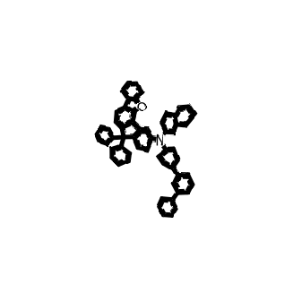 c1ccc(-c2cccc(-c3ccc(N(c4ccc5c(c4)-c4c(ccc6c4oc4ccccc46)C5(c4ccccc4)c4ccccc4)c4ccc5ccccc5c4)cc3)c2)cc1